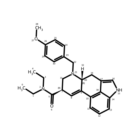 CCN(CC)C(=O)[C@@H]1C=C2c3cccc4[nH]cc(c34)C[C@H]2N(Cc2ccc(OC)cc2)C1